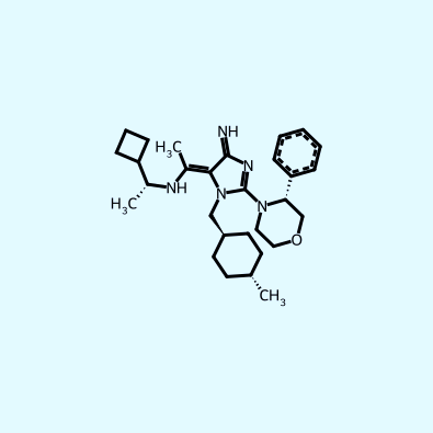 C/C(N[C@H](C)C1CCC1)=C1\C(=N)N=C(N2CCOC[C@H]2c2ccccc2)N1C[C@H]1CC[C@H](C)CC1